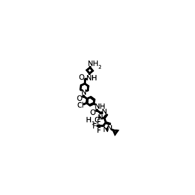 Cn1c(-c2cn(C3CC3)nc2C(F)(F)F)cnc1C(=O)Nc1ccc(C(=O)N2CCC(C(=O)NC3CC(N)C3)CC2)c(Cl)c1